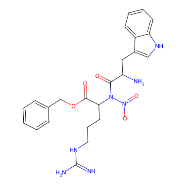 N=C(N)NCCCC(C(=O)OCc1ccccc1)N(C(=O)C(N)Cc1c[nH]c2ccccc12)[N+](=O)[O-]